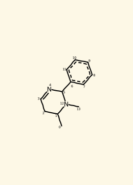 CC1CC=NC(c2ccccc2)N1C